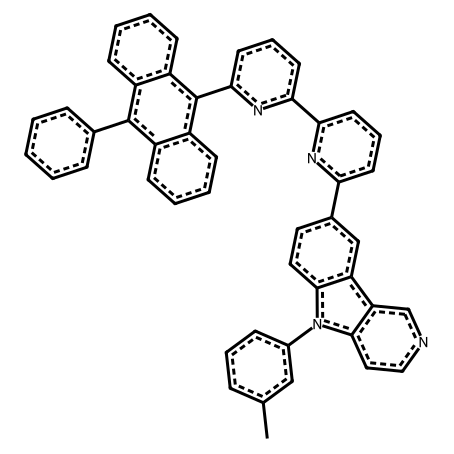 Cc1cccc(-n2c3ccncc3c3cc(-c4cccc(-c5cccc(-c6c7ccccc7c(-c7ccccc7)c7ccccc67)n5)n4)ccc32)c1